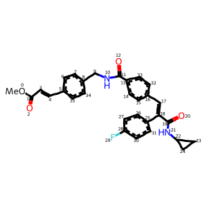 COC(=O)C=Cc1ccc(CNC(=O)c2ccc(C=C(C(=O)NC3CC3)c3ccc(F)cc3)cc2)cc1